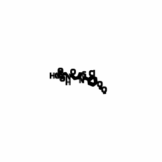 COCOc1ccc(-c2nc(CC(=O)NCS(=O)(=O)O)cs2)c(Cl)c1